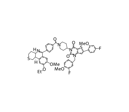 CCOc1cc2c(cc1OC)C(c1ccc(C(=O)N3CCC(n4c(=O)c5sc(-c6ccc(F)cc6OC)cc5n(Cc5ccc(OC)c(F)c5)c4=O)CC3)cc1)=N[C@@H]1CCSC[C@H]21